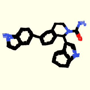 NC(=O)N1CCc2cc(-c3ccc4[nH]ccc4c3)ccc2C1c1c[nH]c2ccccc12